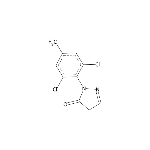 O=C1CC=NN1c1c(Cl)cc(C(F)(F)F)cc1Cl